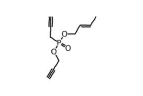 C#CCOP(=O)(CC#C)OCC=CC